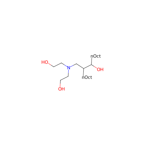 CCCCCCCCC(O)C(CCCCCCCC)CN(CCO)CCO